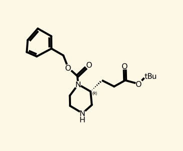 CC(C)(C)OC(=O)CC[C@@H]1CNCCN1C(=O)OCc1ccccc1